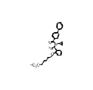 [2H]C(c1ccccc1OCCCCCC(=O)O)N(C(=O)c1ccc(-c2ccccc2)cc1)C1CC1